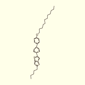 CCCCCCCCCCCCOc1ccc(-c2ccc(-c3cc4sc(CCCCC)cc4s3)cc2)cc1